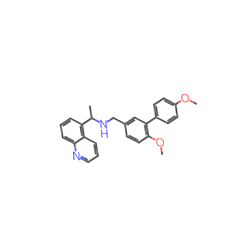 COc1ccc(-c2cc(CNC(C)c3cccc4ncccc34)ccc2OC)cc1